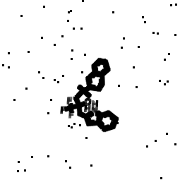 CC(C)(CC(O)(Cc1cc2ccccc2[nH]1)C(F)(F)F)c1ccc2ccccc2c1